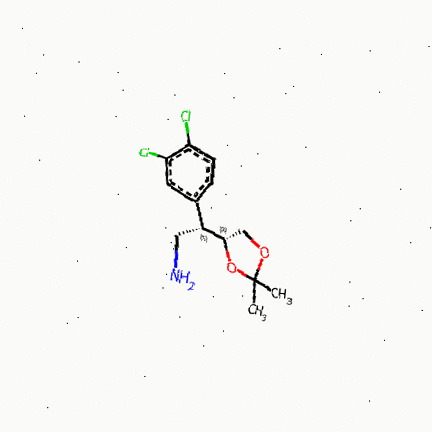 CC1(C)OC[C@@H]([C@H](CN)c2ccc(Cl)c(Cl)c2)O1